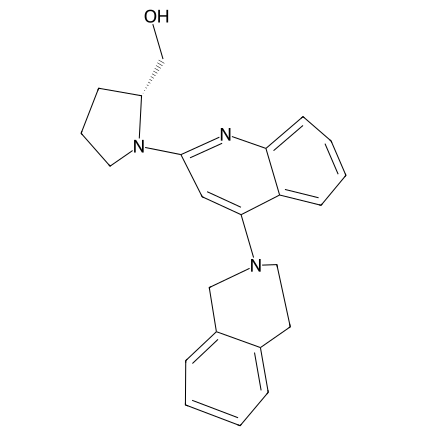 OC[C@H]1CCCN1c1cc(N2CCc3ccccc3C2)c2ccccc2n1